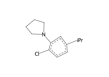 CC(C)c1ccc(Cl)c(N2CCCC2)c1